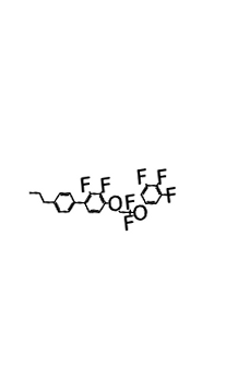 CCCc1ccc(-c2ccc(OCC(F)(F)Oc3cc(F)c(F)c(F)c3)c(F)c2F)cc1